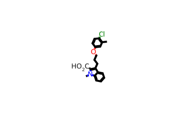 Cc1cc(OCCCc2c(C(=O)O)n(C)c3ccccc23)ccc1Cl